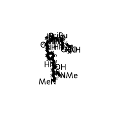 CCC(C)[C@H](NC(=O)[C@H](Cc1c[nH]cn1)NC=O)C(=O)N[C@@H](CC(C)C)C(=O)NCc1ccc(CN[C@@H](O)CN(CCNC)CCNC)cc1